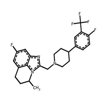 CC1CCc2cc(F)cc3nc(CN4CCC(c5ccc(F)c(C(F)(F)F)c5)CC4)n1c23